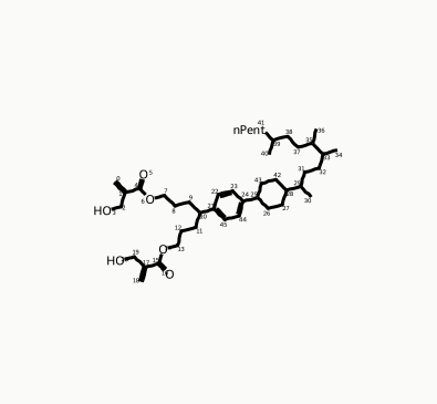 C=C(CO)C(=O)OCCCC(CCCOC(=O)C(=C)CO)c1ccc(C2CCC(C(C)CCC(C)C(C)CCC(C)CCCCC)CC2)cc1